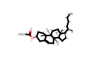 CCCCCCCCC(=O)O[C@H]1CC[C@@]2(C)C(=CC[C@@H]3[C@@H]2CC[C@]2(C)[C@@H]([C@H](C)CCCC(C)C)CC[C@@]32C)C1